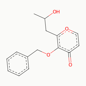 CC(O)Cc1occc(=O)c1OCc1ccccc1